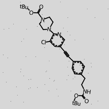 CC(C)(C)OC(=O)NCCc1ccc(C#Cc2cnc(N3CCN(C(=O)OC(C)(C)C)CC3)c(Cl)c2)cc1